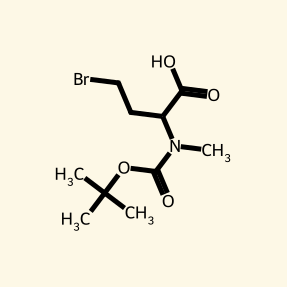 CN(C(=O)OC(C)(C)C)C(CCBr)C(=O)O